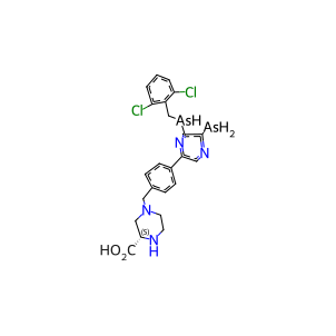 O=C(O)[C@@H]1CN(Cc2ccc(-c3cnc([AsH2])c([AsH]Cc4c(Cl)cccc4Cl)n3)cc2)CCN1